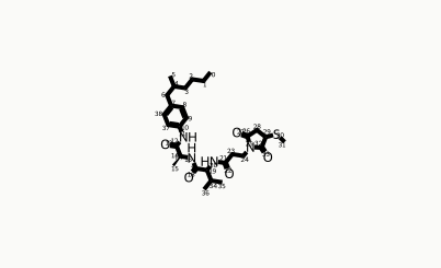 CCCCC(C)Cc1ccc(NC(=O)[C@H](C)NC(=O)C(NC(=O)CCN2C(=O)CC(SC)C2=O)C(C)C)cc1